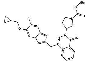 CC(C)(C)OC(=O)N1CCC(n2nc(Cc3cn4cc(OCC5CC5)c(Cl)cc4n3)c3ccccc3c2=O)C1